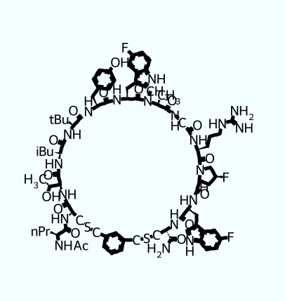 CCC[C@H](NC(C)=O)C(=O)N[C@H]1CSCc2cccc(c2)CSC[C@@H](C(N)=O)NC(=O)[C@H](Cc2c[nH]c3ccc(F)cc23)NC(=O)[C@@H]2C[C@H](F)CN2C(=O)[C@H](CCCNC(=N)N)NC(=O)CNC(=O)[C@H](C)N(C)C(=O)[C@H](Cc2c[nH]c3ccc(F)cc23)NC(=O)[C@H](Cc2ccc(O)cc2)NC(=O)[C@H](C(C)(C)C)NC(=O)[C@H]([C@@H](C)CC)NC(=O)[C@H]([C@@H](C)O)NC1=O